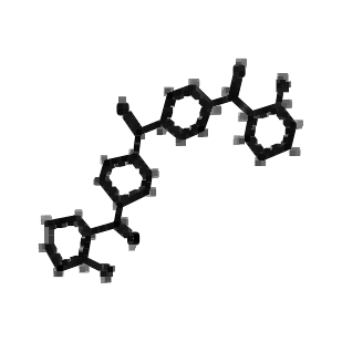 O=C(c1ccc(C(=O)c2ccccc2Br)cc1)c1ccc(C(=O)c2ccccc2Br)cc1